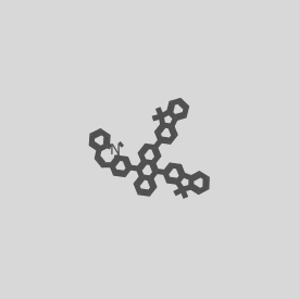 CN1c2ccccc2C=Cc2ccc(-c3c4ccccc4c(-c4ccc5c(c4)C(C)(C)c4ccccc4-5)c4cc(-c5ccc6c(c5)C(C)(C)c5ccccc5-6)ccc34)cc21